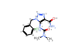 CN(C)C(=O)Nc1c(C(N)=O)nnn1Cc1ccccc1Cl